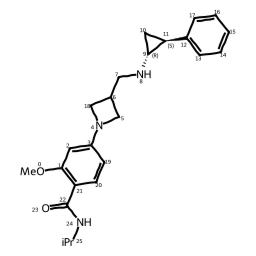 COc1cc(N2CC(CN[C@@H]3C[C@H]3c3ccccc3)C2)ccc1C(=O)NC(C)C